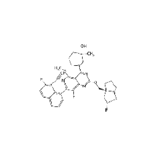 C#Cc1c(F)ccc2cccc(-c3nc(OC)c4c(N5CCC[C@@](C)(O)C5)nc(OC[C@@]56CCCN5C[C@H](F)C6)nc4c3F)c12